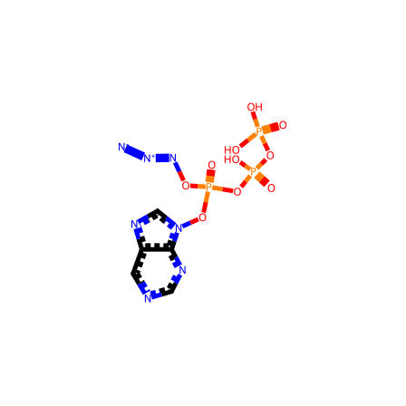 [N-]=[N+]=NOP(=O)(On1cnc2cncnc21)OP(=O)(O)OP(=O)(O)O